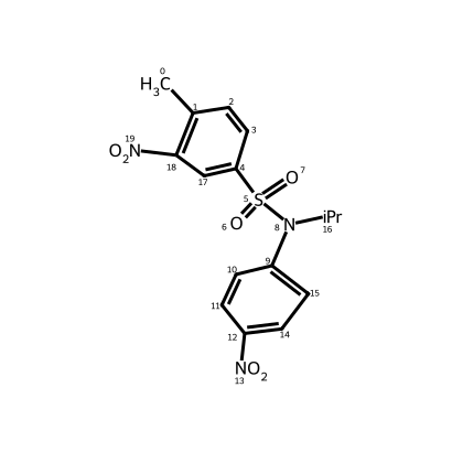 Cc1ccc(S(=O)(=O)N(c2ccc([N+](=O)[O-])cc2)C(C)C)cc1[N+](=O)[O-]